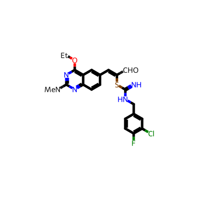 CCOc1nc(NC)nc2ccc(/C=C(/C=O)SC(=N)NCc3ccc(F)c(Cl)c3)cc12